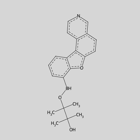 CC(C)(O)C(C)(C)OBc1cccc2c1oc1ccc3cnccc3c12